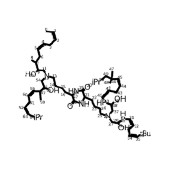 C/C=C\C/C=C\CC(C)C(O)CN(CCCCC1NC(=O)C(CCCCN(CC(O)P/C=C\C/C=C\C(C)(C)C)CC(O)P/C=C\C/C=C\C(C)(C)CC(C)C)NC1=O)CC(O)C(C)/C=C\C/C=C\C(C)C